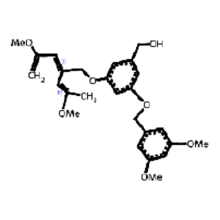 C=C(/C=C(\C=C(/C)OC)COc1cc(CO)cc(OCc2cc(OC)cc(OC)c2)c1)OC